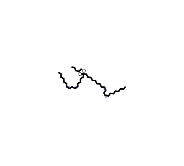 CCCCCC/C=C\C/C=C\CCCCC1(CCCCCCCC/C=C\C/C=C\CCCCCCC)OCC(CCC)O1